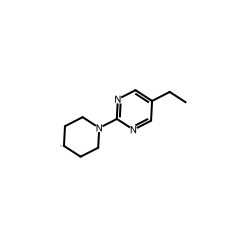 CCc1cnc(N2CC[CH]CC2)nc1